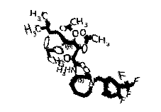 CCC(C)C=C[C@@H](OC(C)=O)[C@H](OC(C)=O)[C@@H](OC(C)=O)[C@@H](OC)C(=O)N[C@H]1CCCCN(Cc2ccc(F)c(C(F)(F)F)c2)C1=O